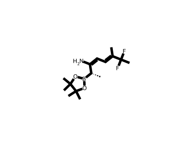 C/C(=C\C=C(\N)[C@H](C)B1OC(C)(C)C(C)(C)O1)C(C)(F)F